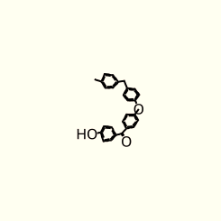 Cc1ccc(Cc2ccc(Oc3ccc(C(=O)c4ccc(O)cc4)cc3)cc2)cc1